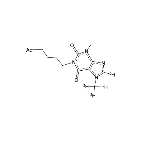 [2H]c1nc2c(c(=O)n(CCCCC(C)=O)c(=O)n2C)n1C([2H])([2H])[2H]